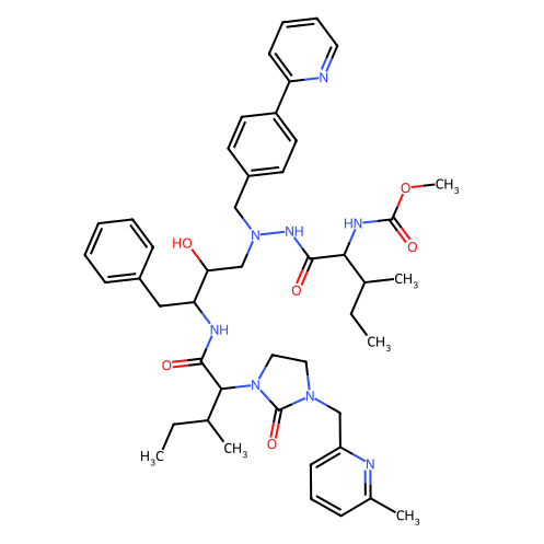 CCC(C)C(NC(=O)OC)C(=O)NN(Cc1ccc(-c2ccccn2)cc1)CC(O)C(Cc1ccccc1)NC(=O)C(C(C)CC)N1CCN(Cc2cccc(C)n2)C1=O